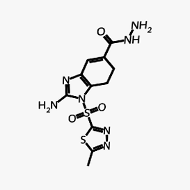 Cc1nnc(S(=O)(=O)n2c(N)nc3c2CCC(C(=O)NN)=C3)s1